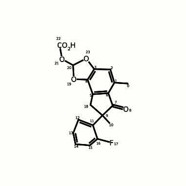 Cc1cc2c(c3c1C(=O)C(C)(c1ccccc1F)C3)OC(OC(=O)O)O2